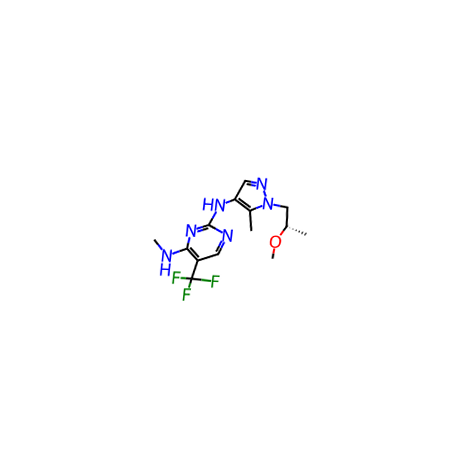 CNc1nc(Nc2cnn(C[C@H](C)OC)c2C)ncc1C(F)(F)F